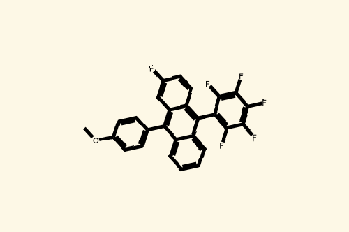 COc1ccc(-c2c3ccccc3c(-c3c(F)c(F)c(F)c(F)c3F)c3ccc(F)cc23)cc1